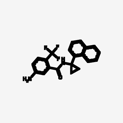 Nc1ccc(C(F)(F)F)c(C(=O)NC2(c3cccc4ccccc34)CC2)c1